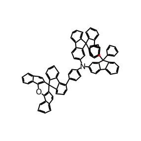 c1ccc(C2(c3ccccc3)c3ccccc3-c3ccc(N(c4ccc(-c5cccc6c5-c5ccccc5C65c6ccc7ccccc7c6Oc6c5ccc5ccccc65)cc4)c4ccc5c(c4)C4(c6ccccc6-c6ccccc64)c4ccccc4-5)cc32)cc1